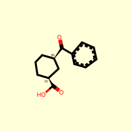 O=C(O)[C@H]1CCC[C@@H](C(=O)c2ccccc2)C1